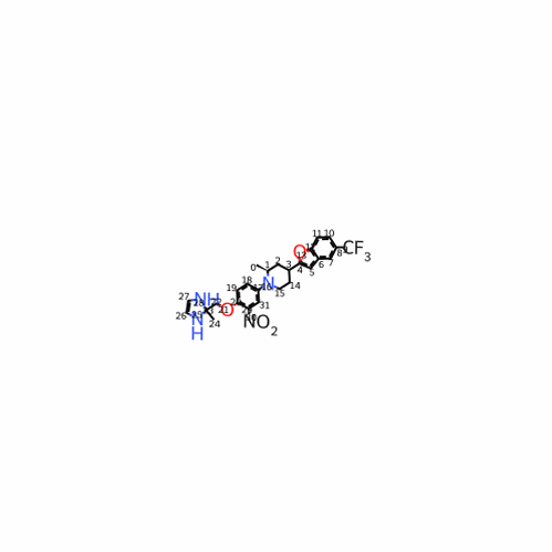 C[C@H]1CC(c2cc3cc(C(F)(F)F)ccc3o2)CCN1c1ccc(OCC2(C)NC=CN2)c([N+](=O)[O-])c1